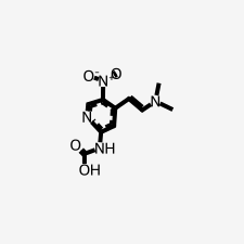 CN(C)C=Cc1cc(NC(=O)O)ncc1[N+](=O)[O-]